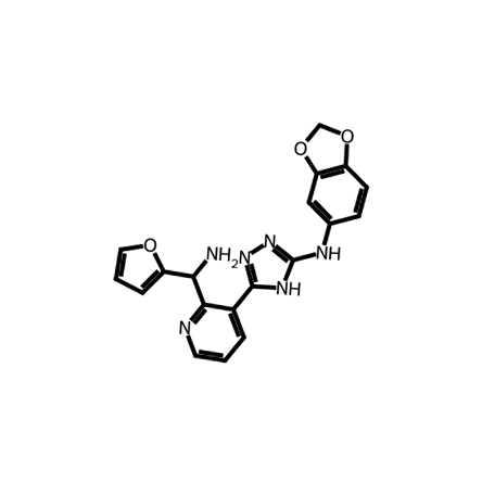 NC(c1ccco1)c1ncccc1-c1nnc(Nc2ccc3c(c2)OCO3)[nH]1